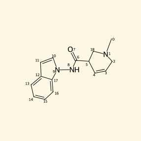 CN1CC=CC(C(=O)Nn2ccc3ccccc32)C1